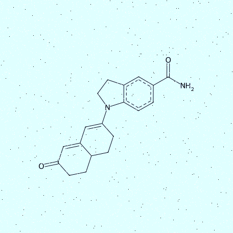 NC(=O)c1ccc2c(c1)CCN2C1=CC2=CC(=O)CCC2CC1